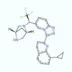 FC(F)(F)[C@@H](c1ccc2nnc(-c3ccc4cccc(C5CC5)c4n3)n2c1)N1C[C@@H]2C[C@H]1CN2